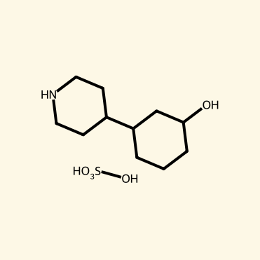 O=S(=O)(O)O.OC1CCCC(C2CCNCC2)C1